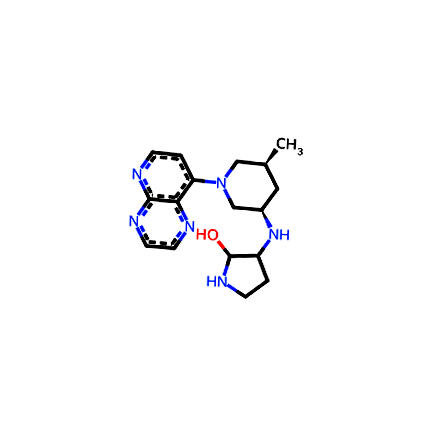 C[C@H]1C[C@@H](NC2CCNC2O)CN(c2ccnc3nccnc23)C1